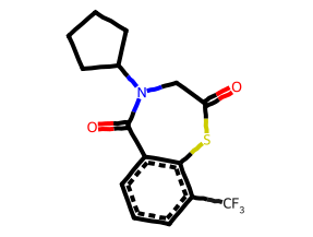 O=C1CN(C2CCCC2)C(=O)c2cccc(C(F)(F)F)c2S1